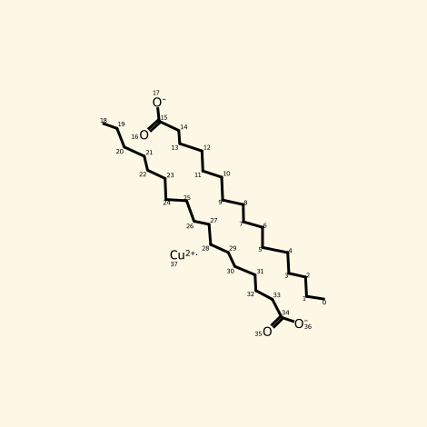 CCCCCCCCCCCCCCCC(=O)[O-].CCCCCCCCCCCCCCCCC(=O)[O-].[Cu+2]